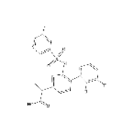 Cc1cncc(S(=O)(=O)Nc2cc(C(C)C(=O)O)ccc2-c2cccc(F)c2Cl)c1